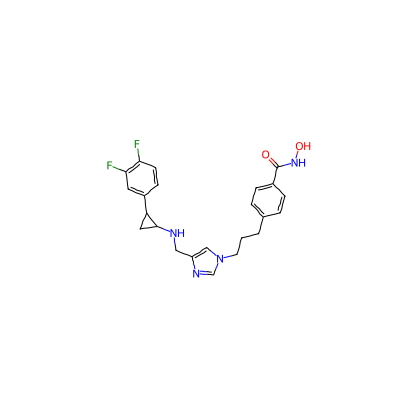 O=C(NO)c1ccc(CCCn2cnc(CNC3CC3c3ccc(F)c(F)c3)c2)cc1